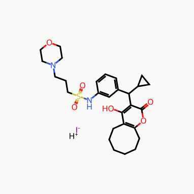 O=c1oc2c(c(O)c1C(c1cccc(NS(=O)(=O)CCCN3CCOCC3)c1)C1CC1)CCCCCC2.[H+].[I-]